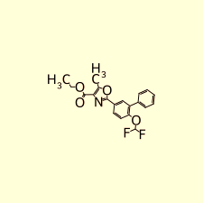 CCOC(=O)c1nc(-c2ccc(OC(F)F)c(-c3ccccc3)c2)oc1C